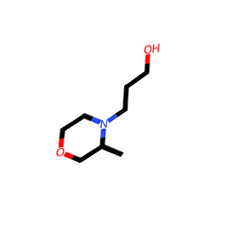 CC1COCCN1CCCO